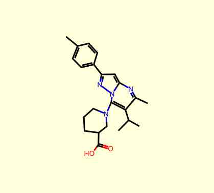 Cc1ccc(-c2cc3nc(C)c(C(C)C)c(N4CCCC(C(=O)O)C4)n3n2)cc1